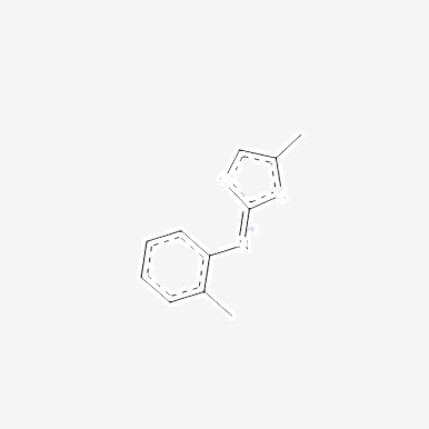 Cc1cs/c(=N\c2ccccc2C)s1